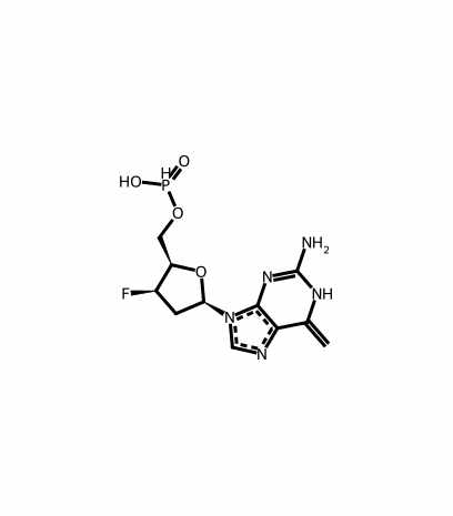 C=C1NC(N)=Nc2c1ncn2[C@H]1C[C@@H](F)[C@@H](CO[PH](=O)O)O1